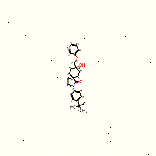 CC(C)(C)c1ccc(N2CCC3(CCC(O)(COc4cccnc4)CC3)C2=O)cc1